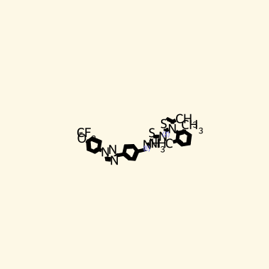 Cc1cccc(C)c1N1/C(=N/C(=S)N/N=C/c2ccc(-c3ncn(-c4ccc(OC(F)(F)F)cc4)n3)cc2)SCC1C